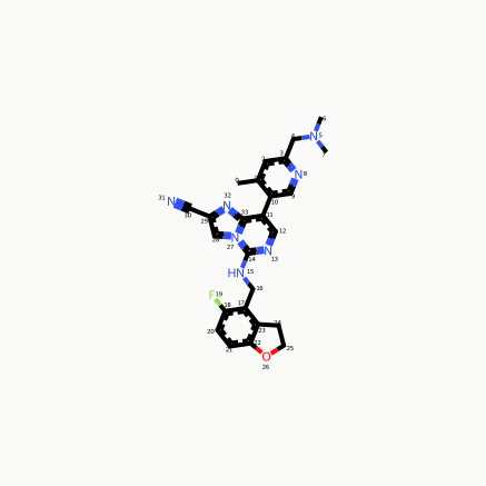 Cc1cc(CN(C)C)ncc1-c1cnc(NCc2c(F)ccc3c2CCO3)n2cc(C#N)nc12